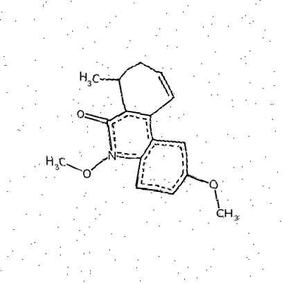 COc1ccc2c(c1)c1c(c(=O)n2OC)C(C)CC=C1